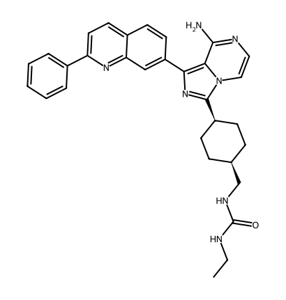 CCNC(=O)NC[C@H]1CC[C@@H](c2nc(-c3ccc4ccc(-c5ccccc5)nc4c3)c3c(N)nccn32)CC1